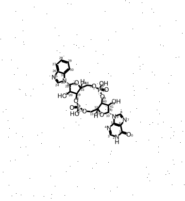 O=c1[nH]cnc2c1ncn2[C@@H]1O[C@@H]2COP(=O)(O)OC3C(O)[C@H](n4cnc5ccccc54)O[C@@H]3COP(=O)(O)OC2C1O